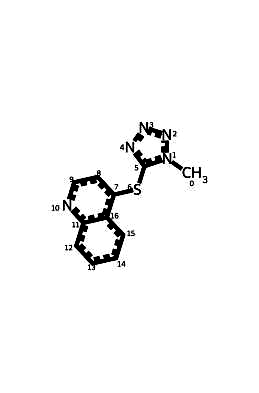 Cn1nnnc1Sc1ccnc2ccccc12